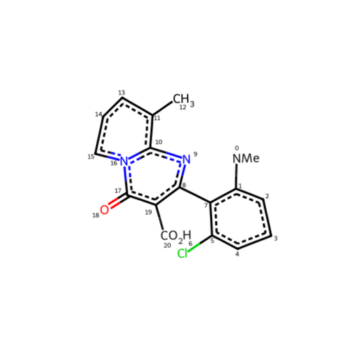 CNc1cccc(Cl)c1-c1nc2c(C)cccn2c(=O)c1C(=O)O